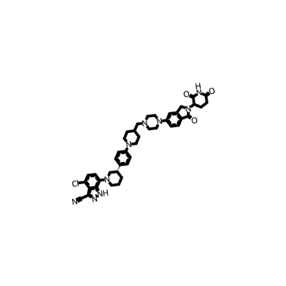 N#Cc1n[nH]c2c(N3CCC[C@@H](c4ccc(N5CCC(CN6CCN(c7ccc8c(c7)CN(C7CCC(=O)NC7=O)C8=O)CC6)CC5)cc4)C3)ccc(Cl)c12